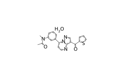 CC(=O)N(C)c1cccc(-c2ccnc3c(C(=O)c4cccs4)cnn23)c1.O